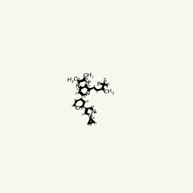 C=C(CCc1nc([C@H]2CCO[C@H](c3cnn(C4CC4)c3)C2)cc2nc(C)c(C)nc12)C(F)(F)F